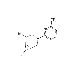 CCC1CC(c2cccc(C(F)(F)F)n2)CC2C(C)C12